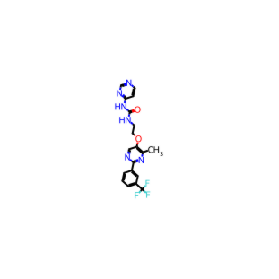 Cc1nc(-c2cccc(C(F)(F)F)c2)ncc1OCCNC(=O)Nc1ccncn1